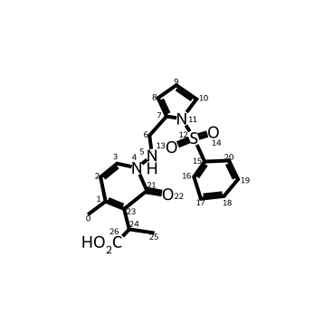 Cc1ccn(NCc2cccn2S(=O)(=O)c2ccccc2)c(=O)c1C(C)C(=O)O